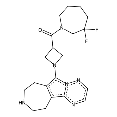 O=C(C1CN(c2c3c(c4nccnn24)CCNCC3)C1)N1CCCCC(F)(F)C1